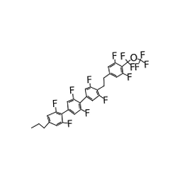 CCCc1cc(F)c(-c2cc(F)c(-c3cc(F)c(CCc4cc(F)c(C(F)(F)OC(F)(F)F)c(F)c4)c(F)c3)c(F)c2)c(F)c1